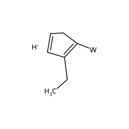 CCC1=[C]([W])CC=C1.[H-]